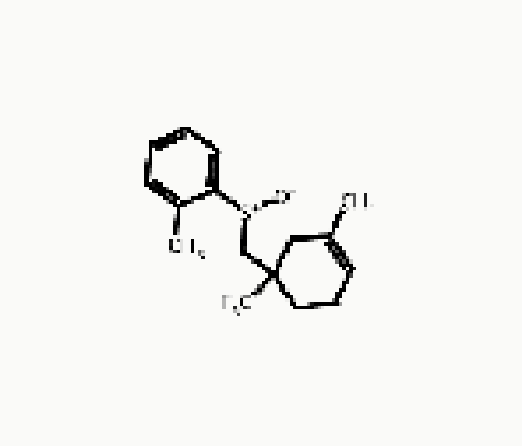 CC1=C[CH]CC(C[S+]([O-])c2ccccc2C)(C(F)(F)F)C1